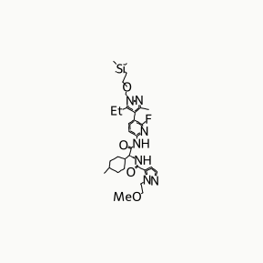 CCc1c(-c2ccc(NC(=O)[C@@H](NC(=O)c3ccnn3CCOC)C3CCC(C)CC3)nc2F)c(C)nn1COCC[Si](C)(C)C